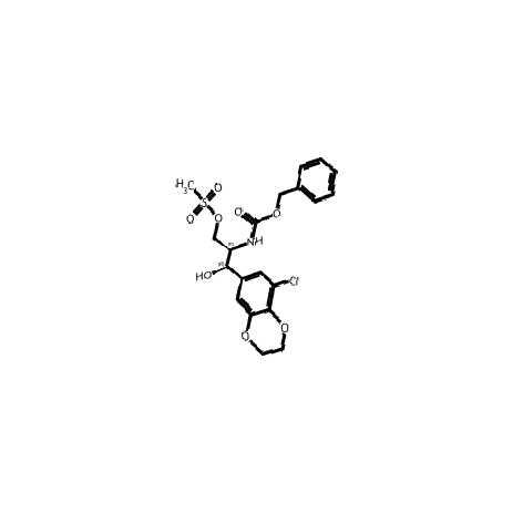 CS(=O)(=O)OC[C@@H](NC(=O)OCc1ccccc1)[C@H](O)c1cc(Cl)c2c(c1)OCCO2